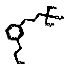 CCCCCCCCCCCOc1cccc(CCCC(NC(C)=O)(C(=O)OCC)C(=O)OCC)c1